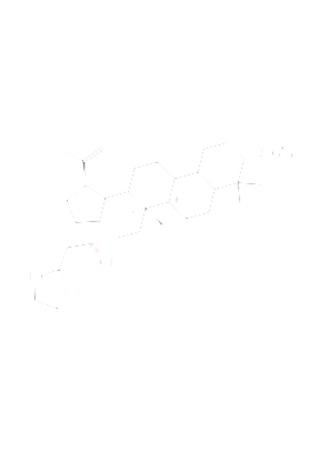 C=C(C)[C@@H]1CC[C@]2(C(=O)CC3OCCO3)CC[C@]3(C)C(CCC4[C@@]5(C)CC[C@H](OC(C)=O)C(C)(C)C5CC[C@]43C)C12